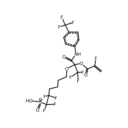 C=C(F)C(=O)OC(OCCCCC(F)(F)C(F)(F)S(=O)(=O)O)(C(=O)Nc1ccc(C(F)(F)F)cc1)C(F)(F)F